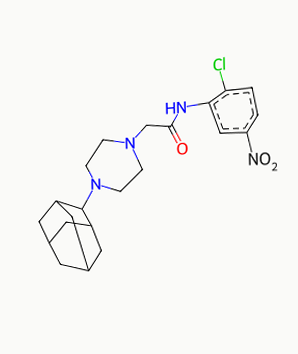 O=C(CN1CCN(C2C3CC4CC(C3)CC2C4)CC1)Nc1cc([N+](=O)[O-])ccc1Cl